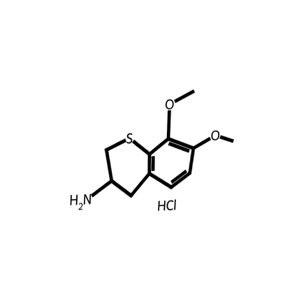 COc1ccc2c(c1OC)SCC(N)C2.Cl